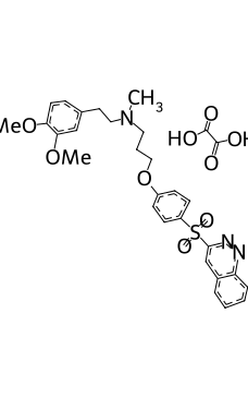 COc1ccc(CCN(C)CCCOc2ccc(S(=O)(=O)c3cc4ccccc4nn3)cc2)cc1OC.O=C(O)C(=O)O